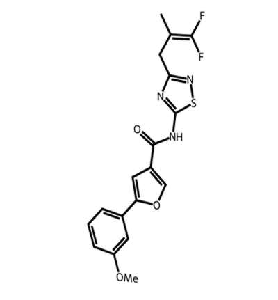 COc1cccc(-c2cc(C(=O)Nc3nc(CC(C)=C(F)F)ns3)co2)c1